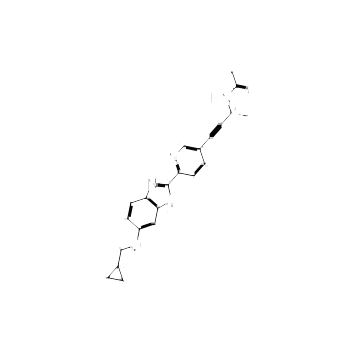 CC(=O)N[C@@H](C)C#Cc1ccc(-c2nc3ccc(OCC4CC4)cc3o2)nc1